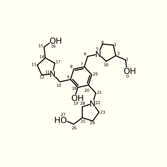 OCC1CCN(Cc2cc(CN3CCC(CO)C3)c(O)c(CN3CCC(CO)C3)c2)C1